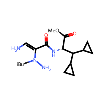 CCC(C)N(N)/C(=C\N)C(=O)N[C@H](C(=O)OC)C(C1CC1)C1CC1